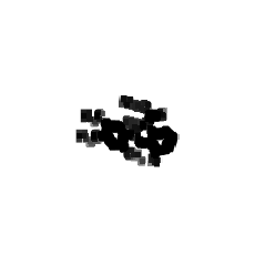 COC(=S)N(O)c1cccc(Br)c1COc1cc(C)c(C)cc1C